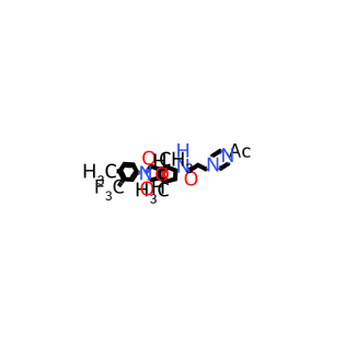 CC(=O)N1CCN(CCC(=O)N[C@@H]2C[C@@]3(C)O[C@]2(C)[C@@H]2C(=O)N(c4ccc(C)c(C(F)(F)F)c4)C(=O)[C@@H]23)CC1